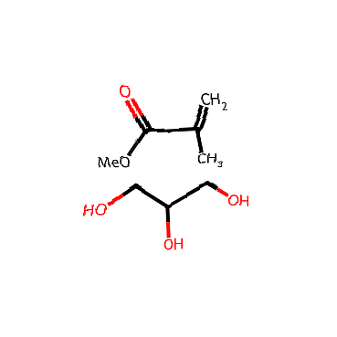 C=C(C)C(=O)OC.OCC(O)CO